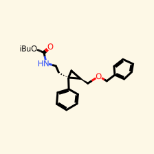 CC(C)COC(=O)NCC[C@]1(c2ccccc2)C[C@H]1COCc1ccccc1